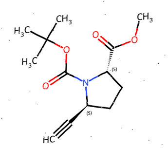 C#C[C@@H]1CC[C@@H](C(=O)OC)N1C(=O)OC(C)(C)C